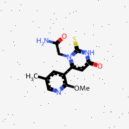 COc1ncc(C)cc1-c1cc(=O)[nH]c(=S)n1CC(N)=O